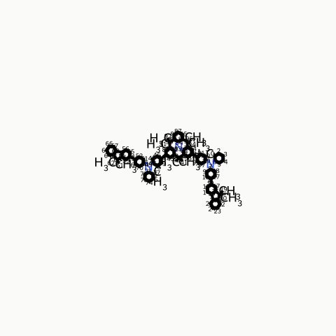 Cc1ccccc1N(c1ccc(-c2ccc3c(c2)C(C)(C)c2ccccc2-3)cc1)c1ccc(-c2cc3c4c(c2)C(C)(C)c2cc(-c5ccc(N(c6ccc(-c7ccc8c(c7)C(C)(C)c7ccccc7-8)cc6)c6ccccc6C)cc5)cc5c2N4c2c(cccc2C5(C)C)C3(C)C)cc1